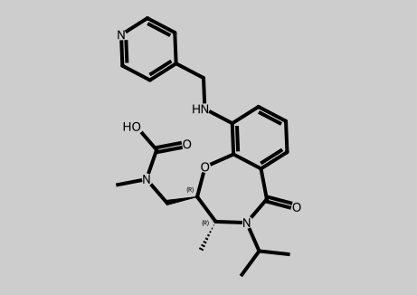 CC(C)N1C(=O)c2cccc(NCc3ccncc3)c2O[C@H](CN(C)C(=O)O)[C@H]1C